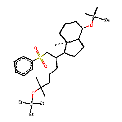 CC[Si](CC)(CC)OC(C)(C)CCC[C@@H](CS(=O)(=O)c1ccccc1)C1CCC2[C@@H](O[Si](C)(C)C(C)(C)C)CCC[C@]12C